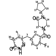 Cc1c(Cc2ccc(F)c(C(=O)N3CCN(C4CCCC4)C(=O)C3)c2)n[nH]c(=O)c1C